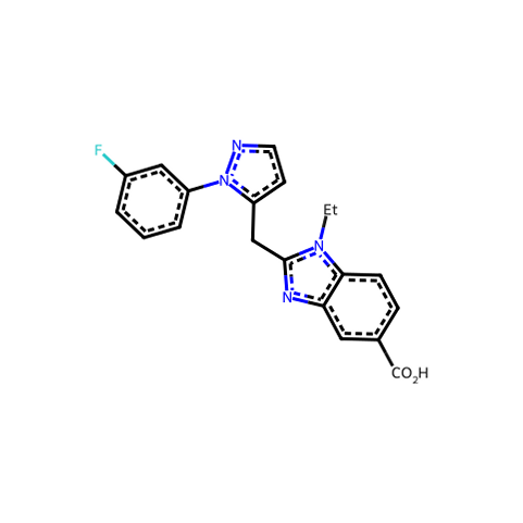 CCn1c(Cc2ccnn2-c2cccc(F)c2)nc2cc(C(=O)O)ccc21